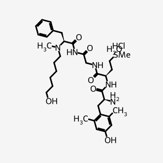 CSCC[C@@H](NC(=O)[C@@H](N)Cc1c(C)cc(O)cc1C)C(=O)NCC(=O)NC(=O)[C@H](Cc1ccccc1)N(C)CCCCCCO.Cl.O